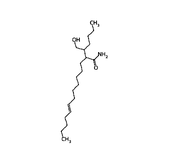 CCCCC=CCCCCCCC(C(N)=O)C(CO)CCCC